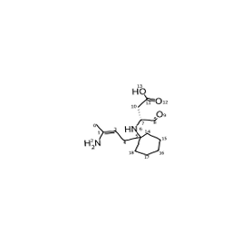 C/C(N)=C/CC1(N[C@@H](C=O)CC(=O)O)CCCCC1